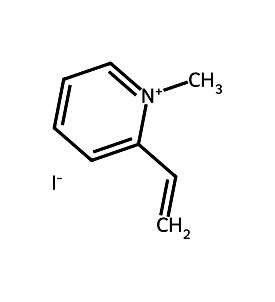 C=Cc1cccc[n+]1C.[I-]